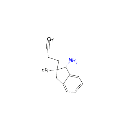 C#CCCC1(CCC)Cc2ccccc2[C@H]1N